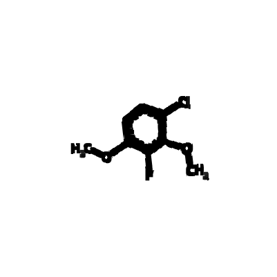 COc1ccc(Cl)c(OC)c1F